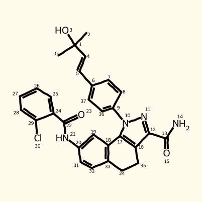 CC(C)(O)C=Cc1ccc(-n2nc(C(N)=O)c3c2-c2cc(NC(=O)c4ccccc4Cl)ccc2CC3)cc1